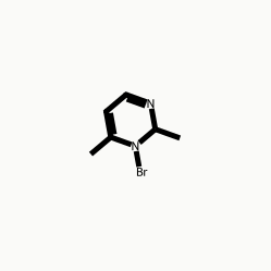 CC1=CC=NC(C)N1Br